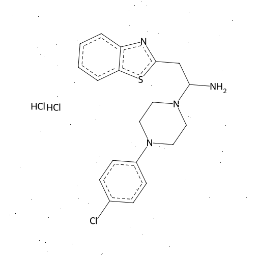 Cl.Cl.NC(Cc1nc2ccccc2s1)N1CCN(c2ccc(Cl)cc2)CC1